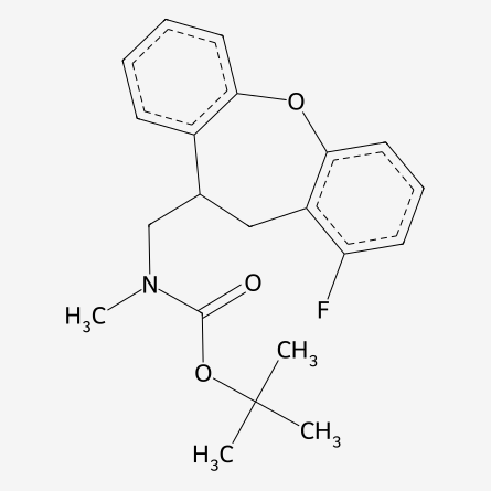 CN(CC1Cc2c(F)cccc2Oc2ccccc21)C(=O)OC(C)(C)C